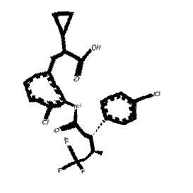 C[C@H]([C@H](C(=O)Nc1cc(CC(C(=O)O)C2CC2)ccc1Cl)c1ccc(Cl)cc1)C(F)(F)F